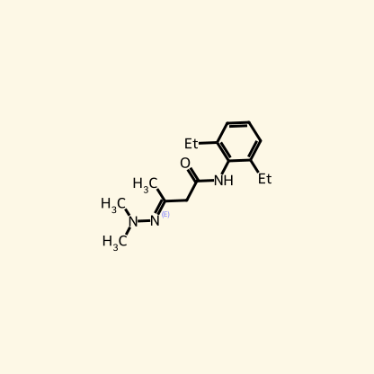 CCc1cccc(CC)c1NC(=O)C/C(C)=N/N(C)C